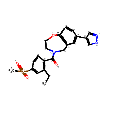 CCc1cc(S(C)(=O)=O)ccc1C(=O)N1CCOc2ccc(-c3cn[nH]c3)cc2C1